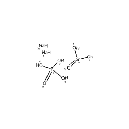 O=P(O)(O)O.O=[Si](O)O.[NaH].[NaH]